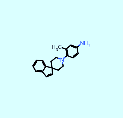 Cc1cc(N)ccc1N1CCC2(C=Cc3ccccc32)CC1